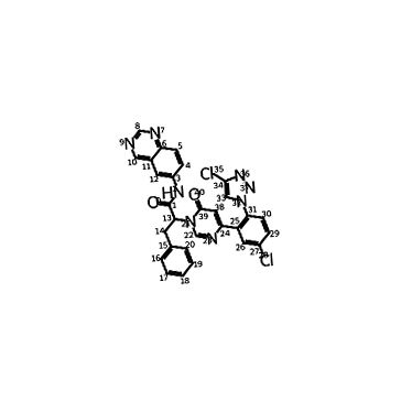 O=C(Nc1ccc2ncncc2c1)C(Cc1ccccc1)n1cnc(-c2cc(Cl)ccc2-n2cc(Cl)nn2)cc1=O